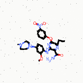 CCc1nc(C(N)=O)c(Nc2ccc(N3CCN(C)CC3)cc2OC)nc1Oc1cccc([N+](=O)[O-])c1